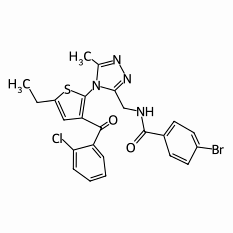 CCc1cc(C(=O)c2ccccc2Cl)c(-n2c(C)nnc2CNC(=O)c2ccc(Br)cc2)s1